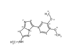 CNc1nn2c(-c3ccc(OC)c(OC)c3)cnc2s1